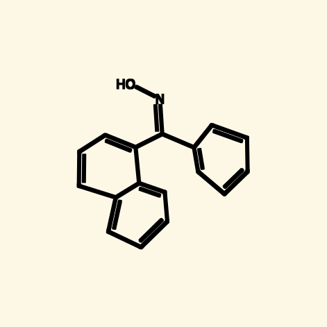 O/N=C(/c1ccccc1)c1cccc2ccccc12